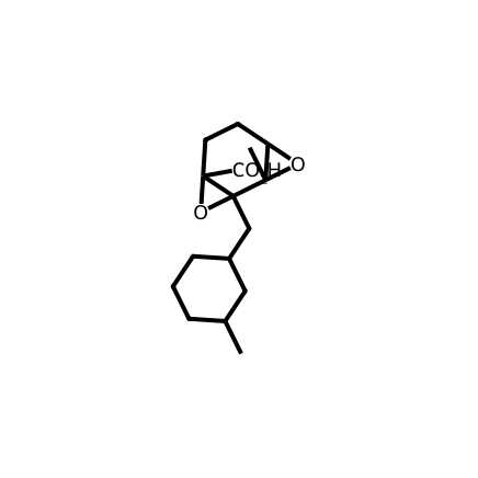 CC1CCCC(CC23OC2(C(=O)O)CCC2OC23C)C1